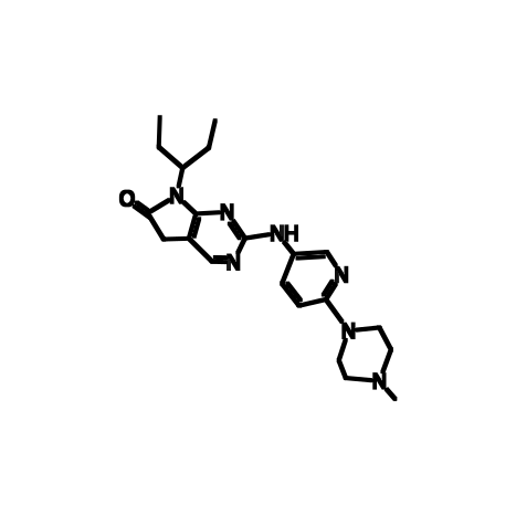 CCC(CC)N1C(=O)Cc2cnc(Nc3ccc(N4CCN(C)CC4)nc3)nc21